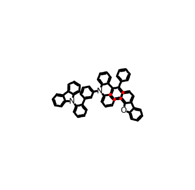 c1ccc(-c2ccccc2-c2ccccc2N(c2cccc(-c3ccccc3-n3c4ccccc4c4ccccc43)c2)c2cccc(-c3cccc4c3oc3ccccc34)c2)cc1